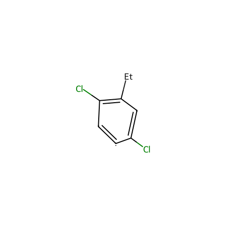 CCc1cc(Cl)[c]cc1Cl